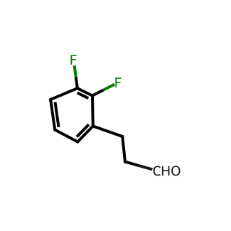 O=CCCc1cccc(F)c1F